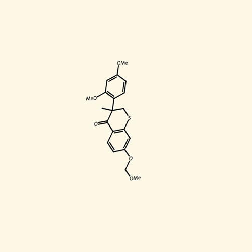 COCOc1ccc2c(c1)SCC(C)(c1ccc(OC)cc1OC)C2=O